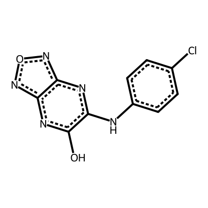 Oc1nc2nonc2nc1Nc1ccc(Cl)cc1